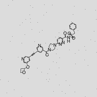 O=C(NS(=O)(=O)Cc1ccccc1)c1ccc(N2CCN(C(=O)c3cncc(C#Cc4cncc(OC5CCO5)c4)c3)CC2)nn1